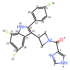 O=C(c1c[nH]cn1)N1CC(c2c(-c3ccc(F)cc3)[nH]c3c(F)cc(F)cc23)C1